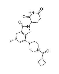 O=C1CCC(N2Cc3c(cc(F)cc3C3CCN(C(=O)C4CCC4)CC3)C2=O)C(=O)N1